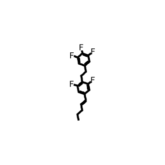 CCCC=Cc1cc(F)c(CCc2cc(F)c(F)c(F)c2)c(F)c1